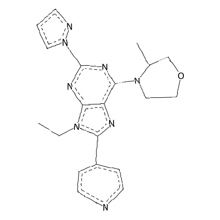 CCn1c(-c2ccncc2)nc2c(N3CCOCC3C)nc(-n3cccn3)nc21